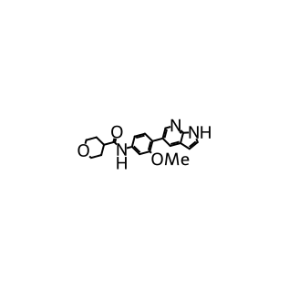 COc1cc(NC(=O)C2CCOCC2)ccc1-c1cnc2[nH]ccc2c1